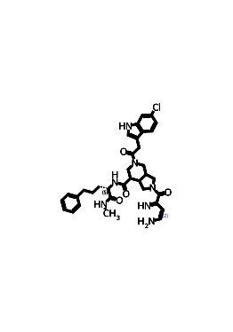 CNC(=O)[C@H](CCCc1ccccc1)NC(=O)C1CN(C(=O)Cc2c[nH]c3cc(Cl)ccc23)CC2CN(C(=O)C(=N)/C=C\N)CC21